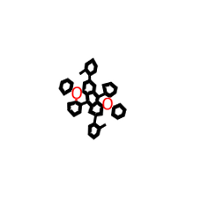 Cc1ccccc1-c1ccc2c(-c3ccccc3Oc3ccccc3)c3cc(-c4ccccc4C)ccc3c(-c3ccccc3Oc3ccccc3)c2c1